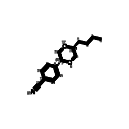 CCCC[C@H]1CO[C@H](c2ccc(C#N)cc2)CO1